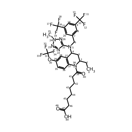 CCC1CC(N(Cc2cc(C(F)(F)F)cc(C(F)(F)F)c2)c2nnn(C)n2)c2cc(OC(F)(F)F)ccc2N1C(=O)CCCCCCC(=O)O